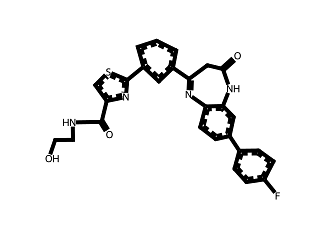 O=C1CC(c2cccc(-c3nc(C(=O)NCCO)cs3)c2)=Nc2ccc(-c3ccc(F)cc3)cc2N1